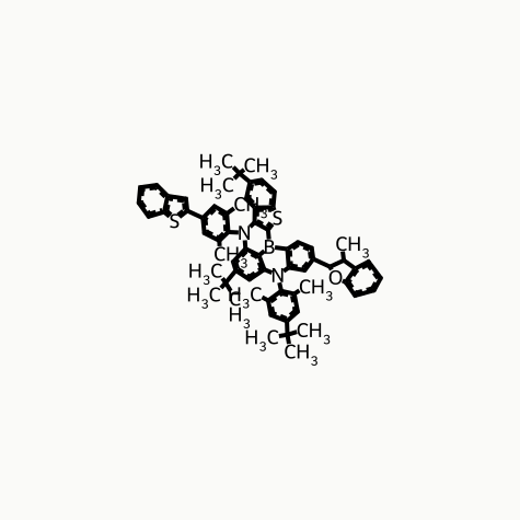 Cc1cc(C(C)(C)C)cc(C)c1N1c2cc(C3Oc4ccccc4C3C)ccc2B2c3sc4ccc(C(C)(C)C)cc4c3N(c3c(C)cc(-c4cc5ccccc5s4)cc3C)c3cc(C(C)(C)C)cc1c32